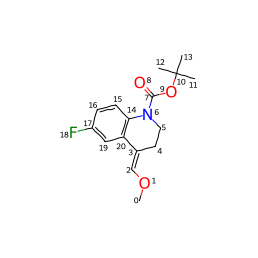 CO/C=C1\CCN(C(=O)OC(C)(C)C)c2ccc(F)cc21